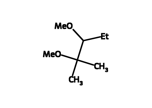 CCC(OC)C(C)(C)OC